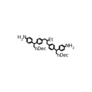 CCCCCCCCCCCC(c1ccc(N)cc1)c1ccc(CC(CC)Cc2ccc(C(CCCCCCCCCCC)c3ccc(N)cc3)cc2)cc1